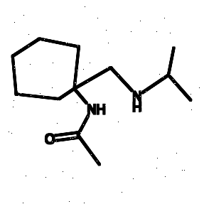 CC(=O)NC1(CNC(C)C)CCCCC1